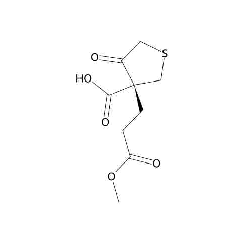 COC(=O)CC[C@]1(C(=O)O)CSCC1=O